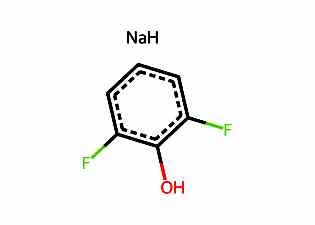 Oc1c(F)cccc1F.[NaH]